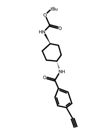 C#Cc1ccc(C(=O)N[C@H]2CC[C@H](NC(=O)OC(C)(C)C)CC2)cc1